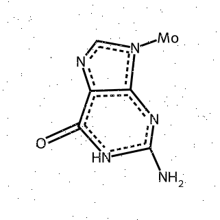 Nc1nc2c(nc[n]2[Mo])c(=O)[nH]1